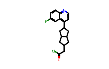 O=C(Cl)CC1CC2CC(c3ccnc4ccc(F)cc34)CC2C1